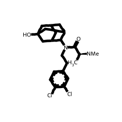 CN[C@@H](C)C(=O)N(CCc1ccc(Cl)c(Cl)c1)C1C2CC3CC1CC(O)(C3)C2